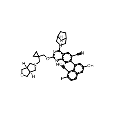 C#Cc1c(F)ccc2cc(O)cc(-c3c(C#N)cc4c(N5CC6CCC(C5)N6)nc(OCC5(CN6C[C@H]7COC[C@@H]7C6)CC5)nc4c3F)c12